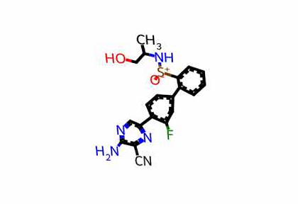 CC(CO)N[S+]([O-])c1ccccc1-c1ccc(-c2cnc(N)c(C#N)n2)c(F)c1